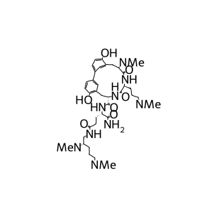 CNCCC[C@@H](CNC(=O)CC[C@H](NC(=O)[C@@H]1Cc2cc(ccc2O)-c2ccc(O)c(c2)C[C@H](NC)C(=O)N[C@@H](CCCNC)C(=O)N1)C(N)=O)NC